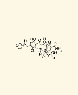 CN(C)[C@@H]1C(O)=C(C(N)=O)C(=O)[C@@]2(O)C(O)=C3C(=O)c4c(O)cc(CN[C@@H]5CCOC5)c(Cl)c4C[C@H]3C[C@@H]12